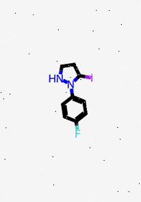 Fc1ccc(N2NCCC2I)cc1